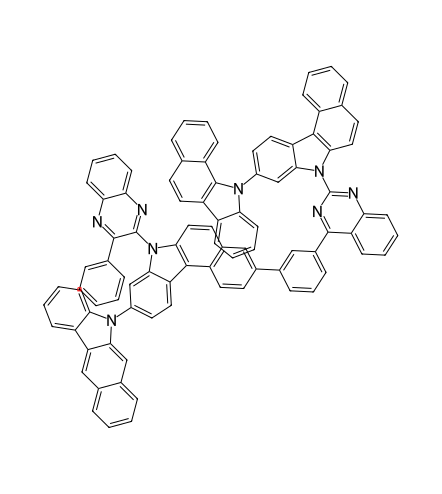 c1ccc(-c2nc3ccccc3nc2-n2c3cc(-n4c5ccccc5c5cc6ccccc6cc54)ccc3c3c4ccc(-c5cccc(-c6nc(-n7c8cc(-n9c%10ccccc%10c%10ccc%11ccccc%11c%109)ccc8c8c9ccccc9ccc87)nc7ccccc67)c5)cc4ccc32)cc1